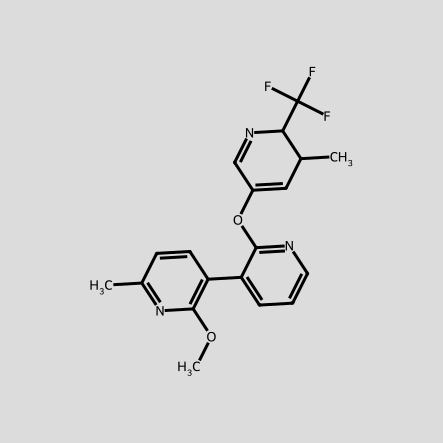 COc1nc(C)ccc1-c1cccnc1OC1=CC(C)C(C(F)(F)F)N=C1